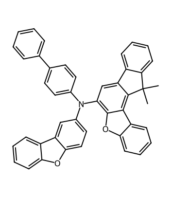 CC1(C)c2ccccc2-c2cc(N(c3ccc(-c4ccccc4)cc3)c3ccc4oc5ccccc5c4c3)c3oc4ccccc4c3c21